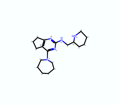 C1CCCN(c2nc(NCC3CCCCN3)nc3c2CCC3)CC1